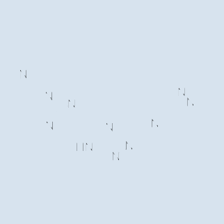 CN1CCN(c2ncc(Nc3nc4n(n3)C=CN(c3cnn(C)c3)C4)cn2)CC1